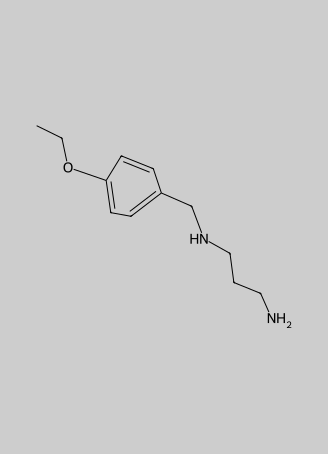 CCOc1ccc(CNCCCN)cc1